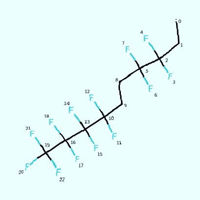 [CH2]CC(F)(F)C(F)(F)CCC(F)(F)C(F)(F)C(F)(F)C(F)(F)F